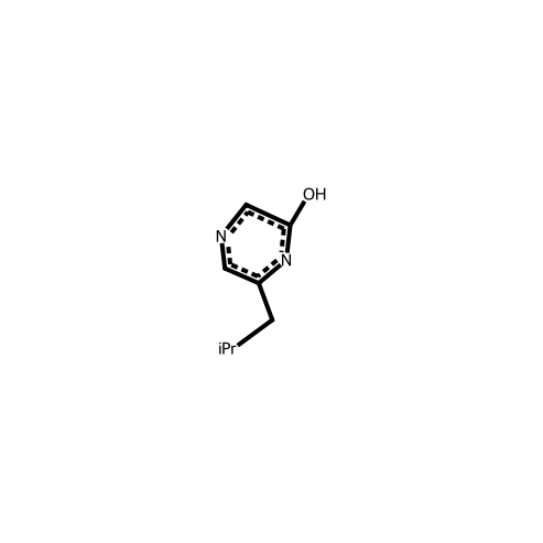 CC(C)Cc1cncc(O)n1